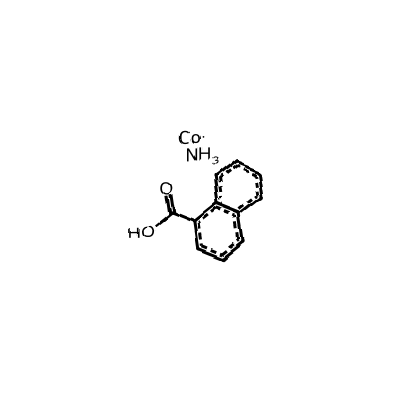 N.O=C(O)c1cccc2ccccc12.[Co]